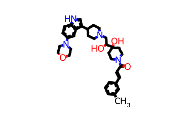 Cc1cccc(/C=C/C(=O)N2CCC(O)(C(O)CN3CCC(c4c[nH]c5ccc(N6CCOCC6)cc45)CC3)CC2)c1